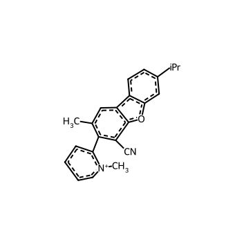 Cc1cc2c(oc3cc(C(C)C)ccc32)c(C#N)c1-c1cccc[n+]1C